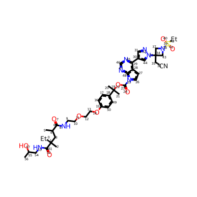 CCC(C)(CC(C)C(=O)NCCOCCOc1ccc(C(C)(C)OC(=O)n2ccc3c(-c4cnn(C5(CC#N)CN(S(=O)(=O)CC)C5)c4)ncnc32)cc1)C(=O)NCC(C)O